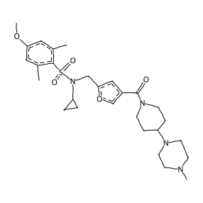 COc1cc(C)c(S(=O)(=O)N(Cc2cc(C(=O)N3CCC(N4CCN(C)CC4)CC3)co2)C2CC2)c(C)c1